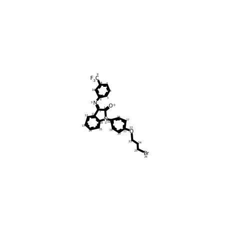 O=C1C(=Nc2cccc(C(F)(F)F)c2)c2ccccc2N1c1ccc(OCCCBr)cc1